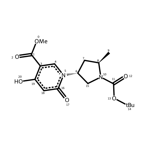 COC(=O)c1cn([C@@H]2C[C@@H](C)N(C(=O)OC(C)(C)C)C2)c(=O)cc1O